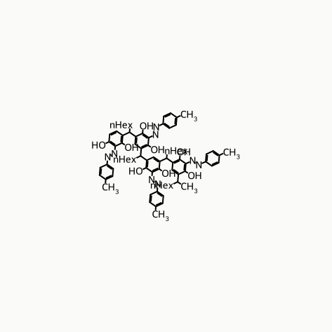 CCCCCCC(C)c1cc(C(CCCCCC)c2cc(C(CCCCCC)c3cc(C(CCCCCC)c4ccc(O)c(N=Nc5ccc(C)cc5)c4O)c(O)c(N=Nc4ccc(C)cc4)c3O)c(O)c(N=Nc3ccc(C)cc3)c2O)c(O)c(N=Nc2ccc(C)cc2)c1O